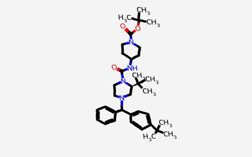 CC(C)(C)OC(=O)N1CCC(NC(=O)N2CCN(C(c3ccccc3)c3ccc(C(C)(C)C)cc3)C[C@@H]2C(C)(C)C)CC1